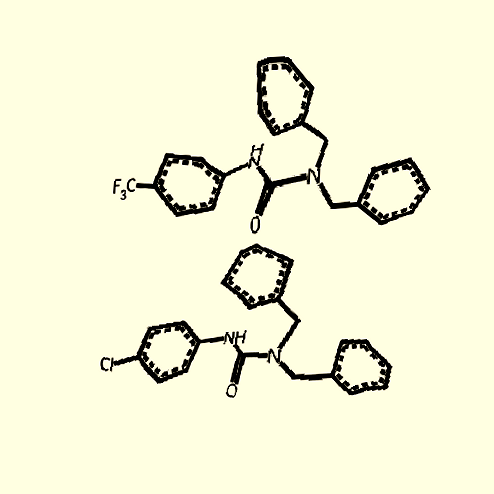 O=C(Nc1ccc(C(F)(F)F)cc1)N(Cc1ccccc1)Cc1ccccc1.O=C(Nc1ccc(Cl)cc1)N(Cc1ccccc1)Cc1ccccc1